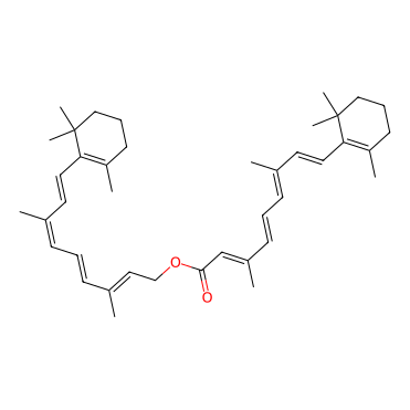 CC(C=CC1=C(C)CCCC1(C)C)=CC=CC(C)=CC(=O)OC/C=C(\C)C=CC=C(C)C=CC1=C(C)CCCC1(C)C